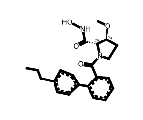 CCCc1ccc(-c2ccccc2C(=O)N2CC[C@H](OC)[C@H]2C(=O)NO)cc1